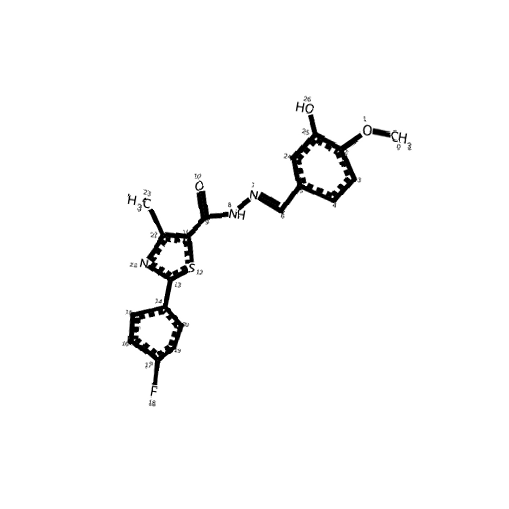 COc1ccc(/C=N/NC(=O)c2sc(-c3ccc(F)cc3)nc2C)cc1O